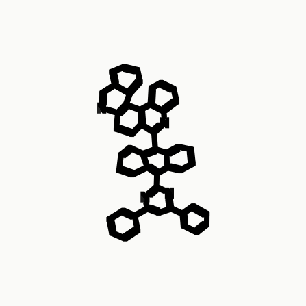 c1ccc(-c2cc(-c3ccccc3)nc(-c3c4ccccc4c(-c4nc5ccccc5c5c4ccc4ncc6ccccc6c45)c4ccccc34)n2)cc1